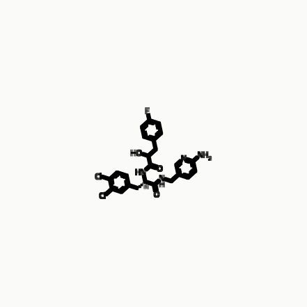 Nc1ccc(CNC(=O)[C@H](Cc2ccc(Cl)c(Cl)c2)NC(=O)C(O)Cc2ccc(F)cc2)cn1